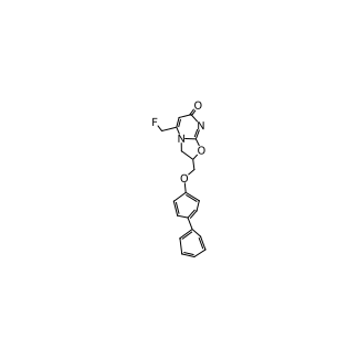 O=c1cc(CF)n2c(n1)OC(COc1ccc(-c3ccccc3)cc1)C2